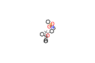 CC(C)(C)C(O[SiH](c1ccccc1)c1ccccc1)c1ccc2ccn(S(=O)(=O)c3ccccc3)c2c1